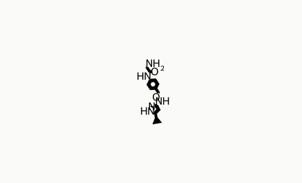 NCC(=O)Nc1ccc(CONc2cc(C3CC3)[nH]n2)cc1